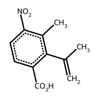 C=C(C)c1c(C(=O)O)ccc([N+](=O)[O-])c1C